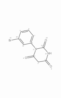 O=C1CC(=O)N(c2cccc(Br)c2)C(=O)N1